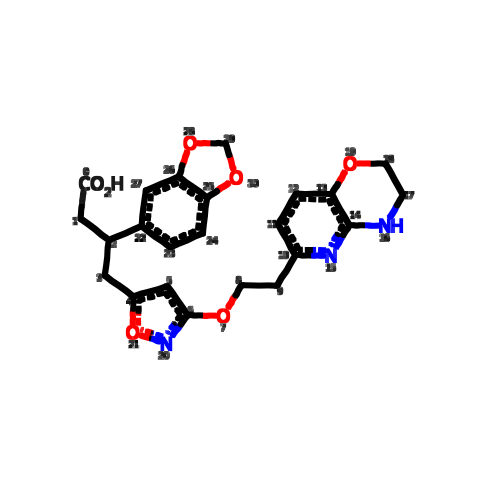 O=C(O)CC(Cc1cc(OCCc2ccc3c(n2)NCCO3)no1)c1ccc2c(c1)OCO2